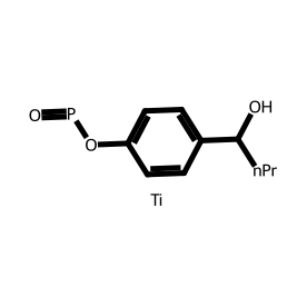 CCCC(O)c1ccc(OP=O)cc1.[Ti]